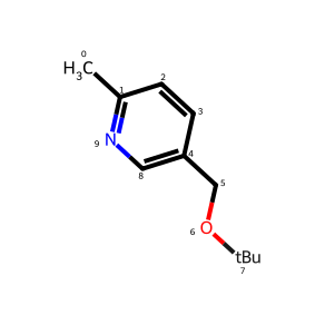 Cc1ccc(COC(C)(C)C)cn1